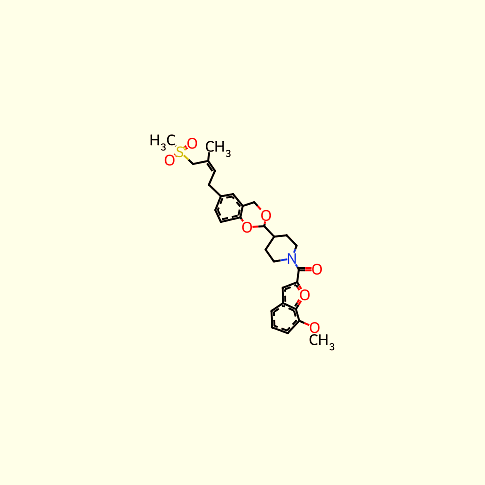 COc1cccc2cc(C(=O)N3CCC(C4OCc5cc(CC=C(C)CS(C)(=O)=O)ccc5O4)CC3)oc12